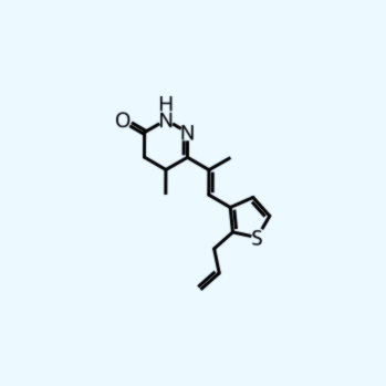 C=CCc1sccc1C=C(C)C1=NNC(=O)CC1C